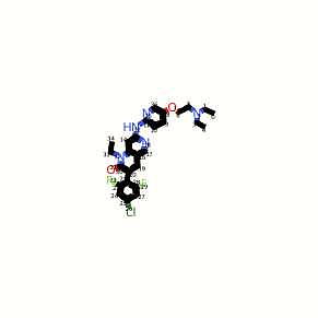 CCN(CC)CCOc1ccc(Nc2cc3c(cn2)cc(-c2c(F)cc(Cl)cc2F)c(=O)n3CC)nc1